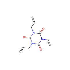 C=CCn1c(=O)n(C=C)c(=O)n(CC=C)c1=O